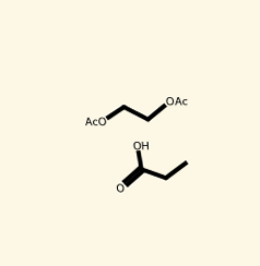 CC(=O)OCCOC(C)=O.CCC(=O)O